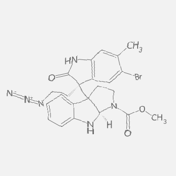 COC(=O)N1CCC2([C@@]3(CCN=[N+]=[N-])C(=O)Nc4cc(C)c(Br)cc43)c3ccccc3N[C@H]12